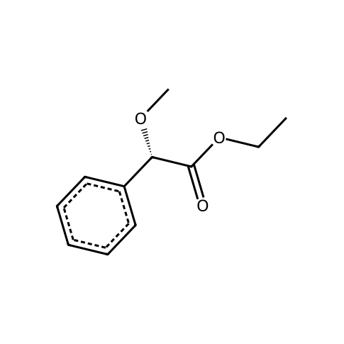 CCOC(=O)[C@@H](OC)c1ccccc1